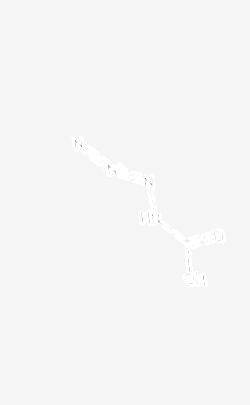 [N-]=[N+]=NNC(=O)O